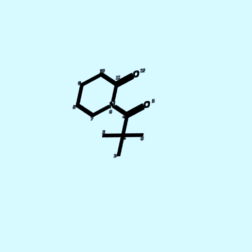 CC(C)(C)C(=O)N1CCCCC1=O